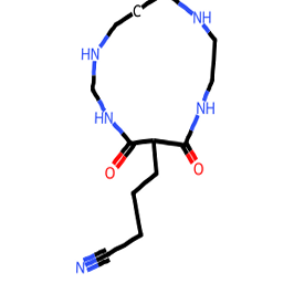 N#CCCCC1C(=O)NCCNCCCNCNC1=O